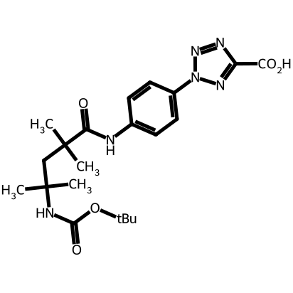 CC(C)(CC(C)(C)C(=O)Nc1ccc(-n2nnc(C(=O)O)n2)cc1)NC(=O)OC(C)(C)C